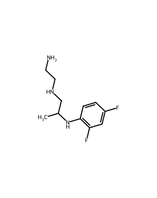 CC(CNCCN)Nc1ccc(F)cc1F